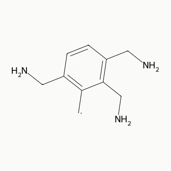 [CH2]c1c(CN)ccc(CN)c1CN